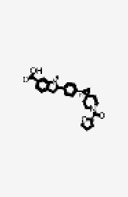 CN1c2cc(C(=O)O)ccc2CC1c1ccc([C@H]2CC23CCN(C(=O)[C@H]2CCCO2)CC3)cc1